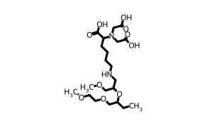 CCC(COCCOC)OC(CNCCCCC(C(=O)O)N(CC(=O)O)CC(=O)O)COC